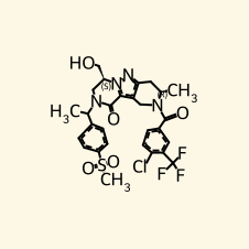 CC(c1ccc(S(C)(=O)=O)cc1)N1C[C@@H](CO)n2nc3c(c2C1=O)CN(C(=O)c1ccc(Cl)c(C(F)(F)F)c1)[C@H](C)C3